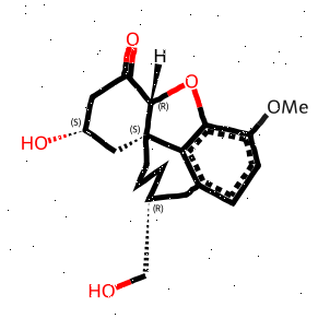 COc1ccc2c3c1O[C@H]1C(=O)C[C@@H](O)C[C@@]31CCC[C@@H](CO)C2